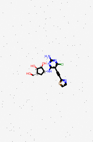 Nc1nc(Cl)c(C#Cc2nccs2)c(N[C@@H]2C[C@H](CO)[C@@H](O)[C@H]2O)n1